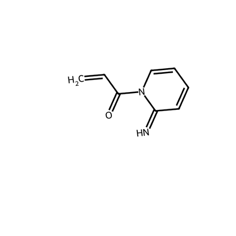 C=CC(=O)n1ccccc1=N